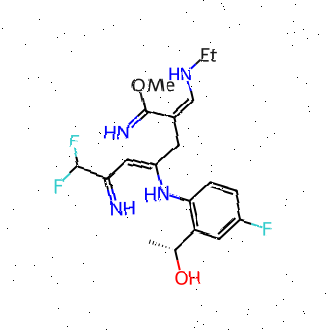 CCN/C=C(/C/C(=C/C(=N)C(F)F)Nc1ccc(F)cc1[C@@H](C)O)C(=N)OC